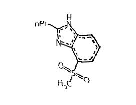 CCCc1nc2c(S(C)(=O)=O)cccc2[nH]1